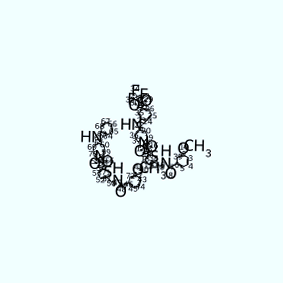 COc1cccc(C(=O)NCc2ccc(S(=O)(=O)N3CCC(Nc4cccc(S(=O)(=O)C(F)(F)F)c4)CC3)s2)c1.COc1cccc(C(=O)NCc2ccc(S(=O)(=O)N3CCC(Nc4ccccc4)CC3)s2)c1